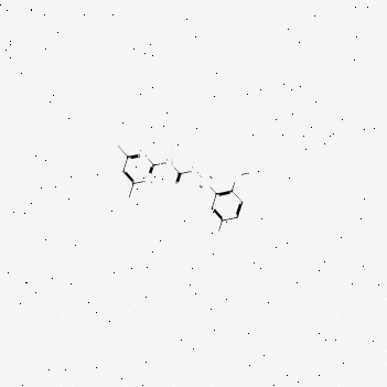 Cc1cc(C)nc(NC(=O)NS(=O)(=O)c2cc(Cl)ccc2SC(F)(F)F)n1